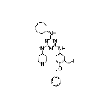 CN1CCC(N(C)c2nc(Nc3ccc(OCc4ccccc4)c(CI)c3)nc(NC3CCCCCC3)n2)CC1